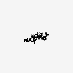 C[C@@H]1Cc2nn3c(c2CN1C(=O)Nc1ccnc(C(F)F)c1F)C(F)(F)CCC(O)(CC#N)C3